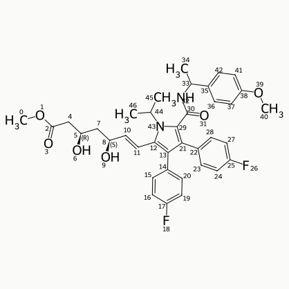 COC(=O)C[C@H](O)C[C@H](O)C=Cc1c(-c2ccc(F)cc2)c(-c2ccc(F)cc2)c(C(=O)NC(C)c2ccc(OC)cc2)n1C(C)C